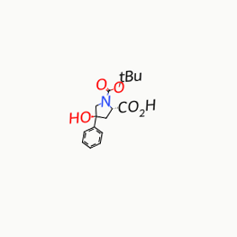 CC(C)(C)OC(=O)N1C[C@@](O)(c2ccccc2)C[C@H]1C(=O)O